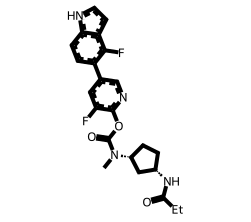 CCC(=O)N[C@H]1CC[C@@H](N(C)C(=O)Oc2ncc(-c3ccc4[nH]ccc4c3F)cc2F)C1